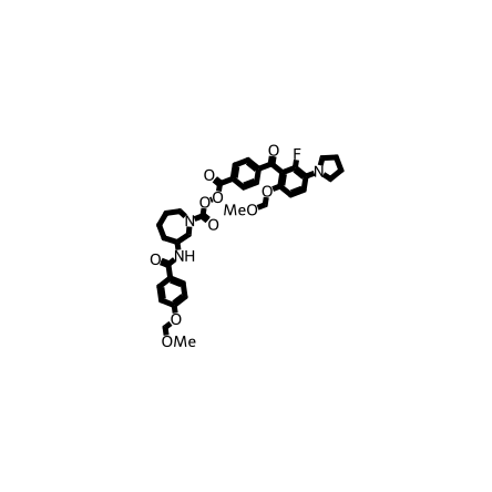 COCOc1ccc(C(=O)NC2CCCCN(C(=O)OOC(=O)c3ccc(C(=O)c4c(OCOC)ccc(N5CCCC5)c4F)cc3)C2)cc1